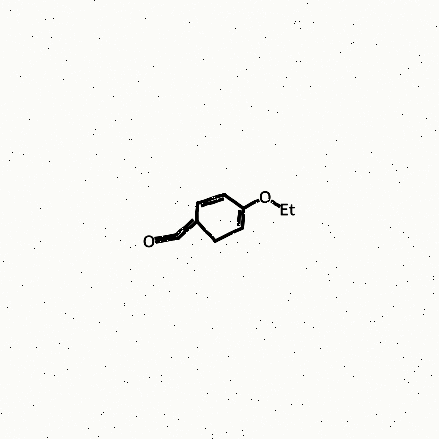 CCOC1=CCC(=C=O)C=C1